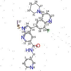 O=C(NCc1cccnc1)c1cnc2c(c1)c(-c1cc(F)c3nccc(N4CCCCC4)c3c1)cn2SI